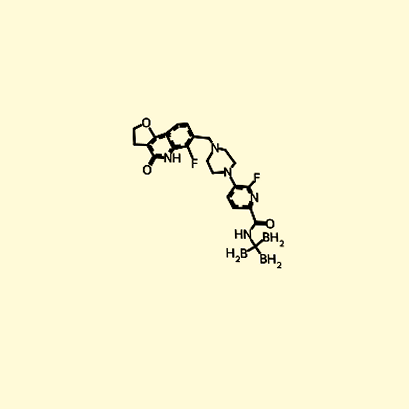 BC(B)(B)NC(=O)c1ccc(N2CCN(Cc3ccc4c5c(c(=O)[nH]c4c3F)CCO5)CC2)c(F)n1